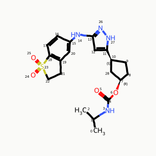 CC(C)NC(=O)O[C@@H]1CC[C@H](c2cc(Nc3ccc4c(c3)CCS4(=O)=O)n[nH]2)C1